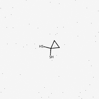 SC1(S)CC1